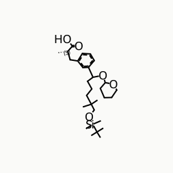 C[C@@H](Cc1cccc(C(CCCC(C)(C)CO[Si](C)(C)C(C)(C)C)OC2CCCCO2)c1)C(=O)O